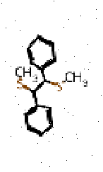 CS[C](c1ccccc1)C(SC)c1ccccc1